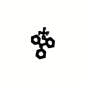 FC(F)(F)Oc1ccccc1N(c1ccccc1)c1ccccc1